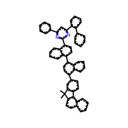 CC1(C)c2cc(-c3ccc(-c4ccc(-c5nc(-c6ccccc6)cc(-c6ccccc6-c6ccccc6)n5)c5ccccc45)c4ccccc34)ccc2-c2c1ccc1ccccc21